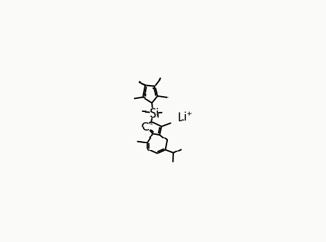 CC1=CC=C(C(C)C)CC2=C(C)C([Si](C)(C)C3C(C)=C(C)C(C)=C3C)[C-]=C12.[Li+]